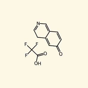 O=C(O)C(F)(F)F.O=C1C=CC2=CN=CCC2=C1